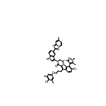 Cc1ccn2nc(-c3ccc4c(c3)c(N3C[C@@H](C)n5c(c(CCCOc6cc(C)c(Cl)c(C)c6)c6ccc(Cl)c(-c7c(C)nn(C)c7C)c65)C3=O)cn4C)nc2c1